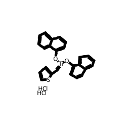 Cl.Cl.[CH](c1cccs1)=[Ti]([O]c1cccc2ccccc12)[O]c1cccc2ccccc12